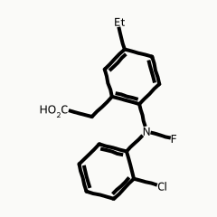 CCc1ccc(N(F)c2ccccc2Cl)c(CC(=O)O)c1